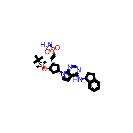 CC(C)(C)[Si](C)(C)O[C@H]1C[C@H](n2ccc3c(N[C@H]4CCc5ccccc54)ncnc32)C[C@H]1C=CS(N)(=O)=O